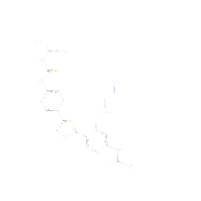 CC(=O)Nc1ccc(-c2cnc(-c3ccc(NC(=S)NC(C)C)cc3)s2)c(SNCCN)c1